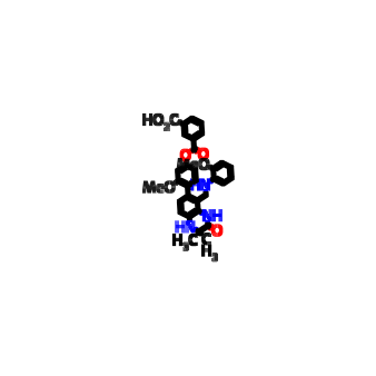 COc1ccccc1NCc1c(-c2ccc(OC(=O)c3cccc(C(=O)O)c3)cc2OC)ccc2c1NC(=O)C(C)(C)N2